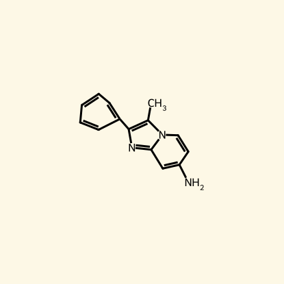 Cc1c(-c2ccccc2)nc2cc(N)ccn12